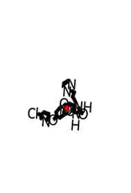 O=C1NC(=O)[C@](CCCc2ncccn2)(CS(=O)(=O)N2CCC(Oc3ccc(Cl)cn3)CC2)N1